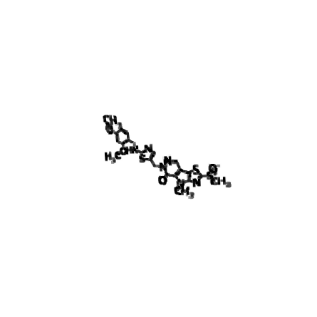 COc1ccc(CNc2ncc(Cn3ncc4c5sc([S+](C)[O-])nc5n(C)c4c3=O)s2)c(OC)c1